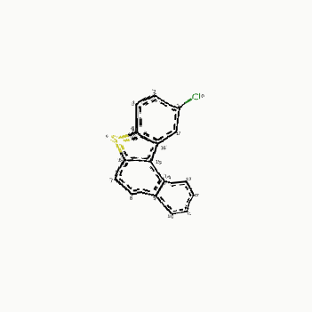 Clc1ccc2sc3ccc4ccccc4c3c2c1